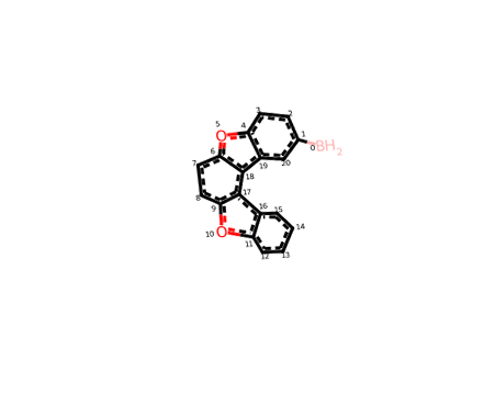 Bc1ccc2oc3ccc4oc5ccccc5c4c3c2c1